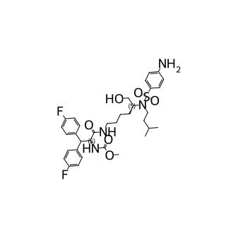 COC(=O)N[C@H](C(=O)NCCCC[C@@H](CO)N(CCC(C)C)S(=O)(=O)c1ccc(N)cc1)C(c1ccc(F)cc1)c1ccc(F)cc1